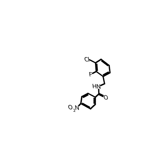 O=C(NCc1cccc(Cl)c1F)c1ccc([N+](=O)[O-])cc1